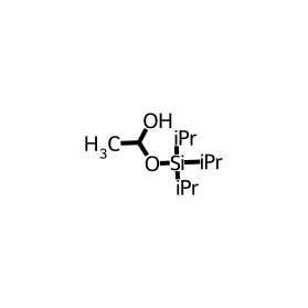 CC(O)O[Si](C(C)C)(C(C)C)C(C)C